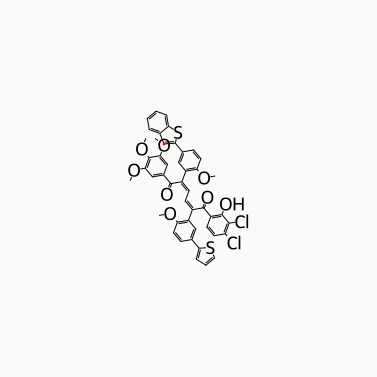 COc1ccc(-c2cc3ccccc3s2)cc1C(=CC=C(C(=O)c1ccc(Cl)c(Cl)c1O)c1cc(-c2cccs2)ccc1OC)C(=O)c1cc(OC)c(OC)c(OC)c1